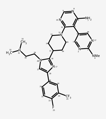 CNc1ncc(-c2c(N)ncnc2N2CCC(c3nc(-c4ccc(F)c(C(F)(F)F)c4)cn3CCN(C)C)CC2)cn1